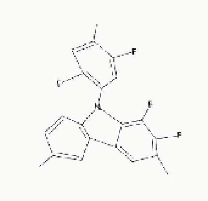 Cc1ccc2c(c1)c1cc(C)c(F)c(F)c1n2-c1cc(F)c(C)cc1F